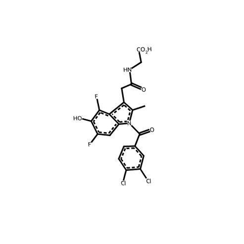 Cc1c(CC(=O)NCC(=O)O)c2c(F)c(O)c(F)cc2n1C(=O)c1ccc(Cl)c(Cl)c1